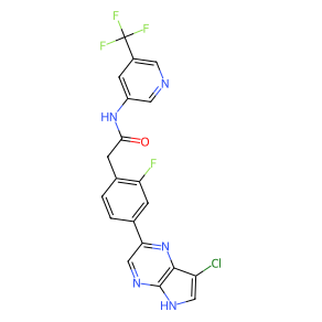 O=C(Cc1ccc(-c2cnc3[nH]cc(Cl)c3n2)cc1F)Nc1cncc(C(F)(F)F)c1